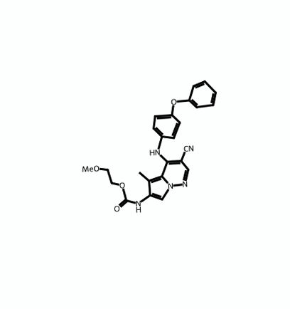 COCCOC(=O)Nc1cn2ncc(C#N)c(Nc3ccc(Oc4ccccc4)cc3)c2c1C